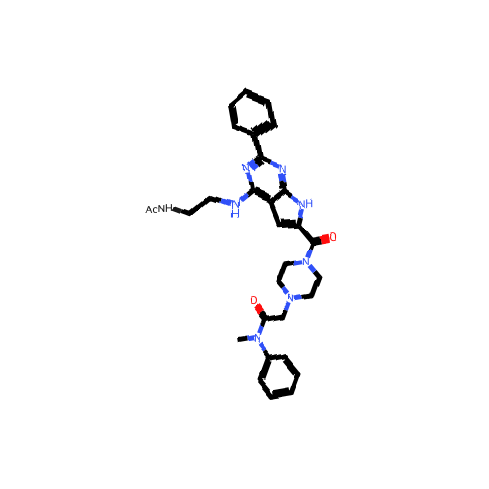 CC(=O)NCCNc1nc(-c2ccccc2)nc2[nH]c(C(=O)N3CCN(CC(=O)N(C)c4ccccc4)CC3)cc12